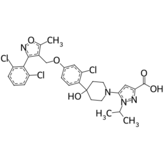 Cc1onc(-c2c(Cl)cccc2Cl)c1COc1ccc(C2(O)CCN(c3cc(C(=O)O)nn3C(C)C)CC2)c(Cl)c1